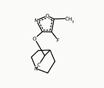 Cc1onc(OC2CN3CCC2CC3)c1F